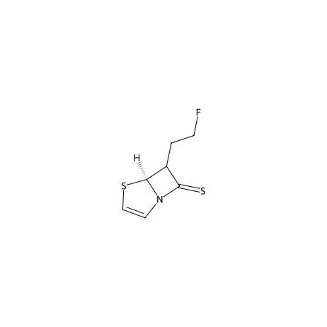 FCCC1C(=S)N2C=CS[C@@H]12